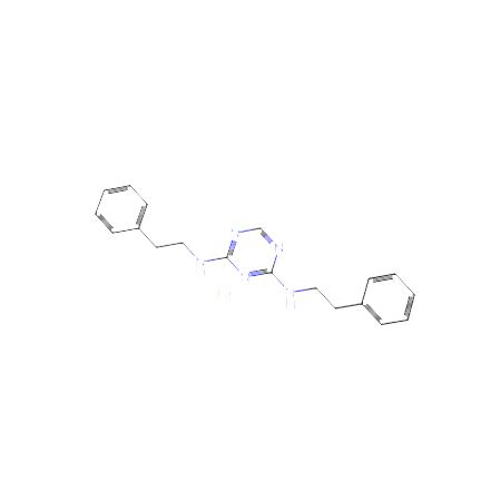 Cl.c1ccc(CCNc2ncnc(NCCc3ccccc3)n2)cc1